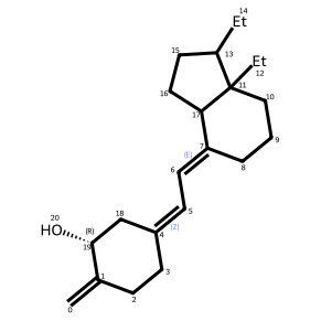 C=C1CC/C(=C/C=C2\CCCC3(CC)C(CC)CCC23)C[C@H]1O